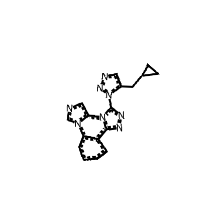 c1ccc2c(c1)c1nnc(-n3nncc3CC3CC3)n1c1cncn21